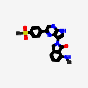 CCNc1cccc2c1C(=O)N(c1c[nH]c3ncc(-c4ccc(S(=O)(=O)C(C)C)cc4)nc13)C2